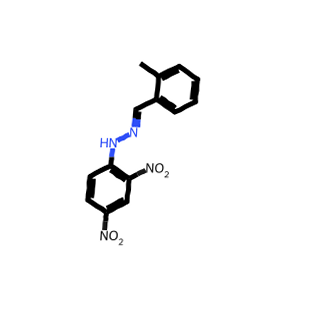 Cc1ccccc1/C=N/Nc1ccc([N+](=O)[O-])cc1[N+](=O)[O-]